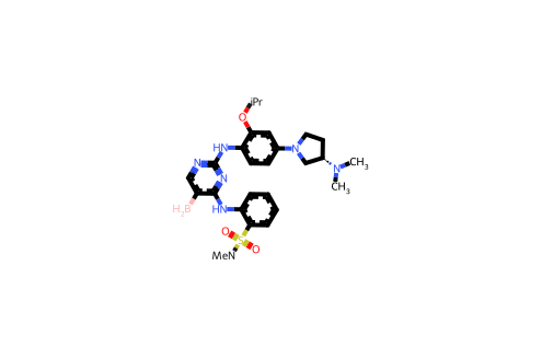 Bc1cnc(Nc2ccc(N3CC[C@H](N(C)C)C3)cc2OC(C)C)nc1Nc1ccccc1S(=O)(=O)NC